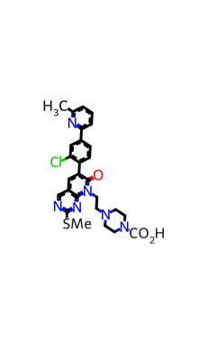 CSc1ncc2cc(-c3ccc(-c4cccc(C)n4)cc3Cl)c(=O)n(CCN3CCN(C(=O)O)CC3)c2n1